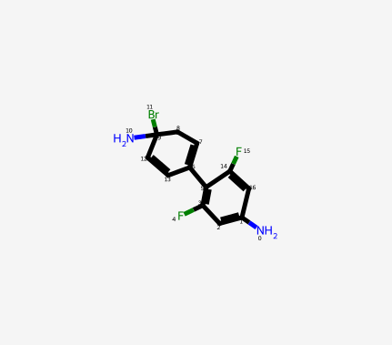 Nc1cc(F)c(C2=CCC(N)(Br)C=C2)c(F)c1